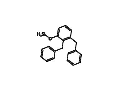 [SiH3]Oc1cccc(Cc2ccccc2)c1Cc1ccccc1